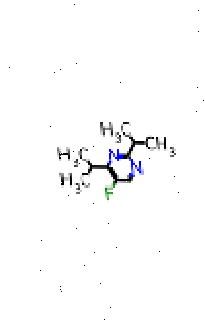 CC(C)c1ncc(F)c(C(C)C)n1